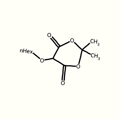 CCCCCCOC1C(=O)OC(C)(C)OC1=O